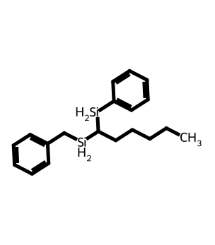 CCCCCC([SiH2]Cc1ccccc1)[SiH2]c1ccccc1